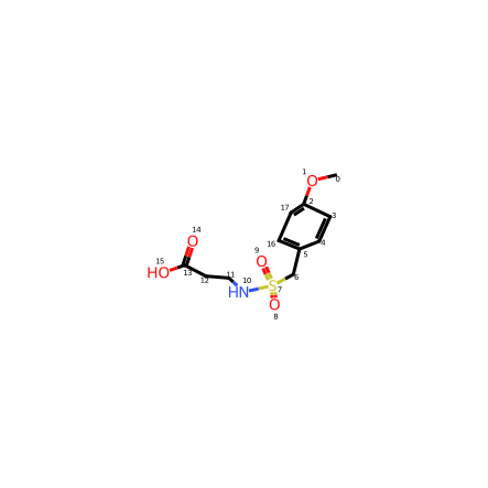 COc1ccc(CS(=O)(=O)NCCC(=O)O)cc1